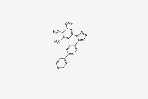 COc1cc(-n2nncc2-c2ccc(-c3ccncc3)cc2)cc(C)c1C